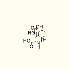 O=C(O)[C@@H]1C[C@H]2[C@H](CCC[C@H]2P(=O)(O)O)CN1